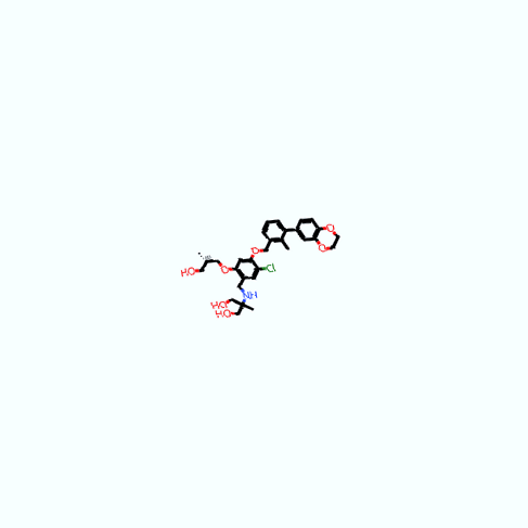 Cc1c(COc2cc(OC[C@@H](C)CO)c(CNC(C)(CO)CO)cc2Cl)cccc1-c1ccc2c(c1)OCCO2